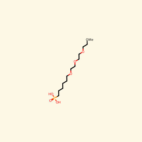 COCCOCCOCCOCCCCCCP(=O)(O)O